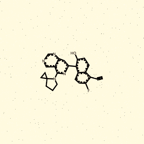 C#Cc1c(F)ccc2c(-c3cc4ncncc4c(N4CCCC45CC5)n3)c(O)ccc12